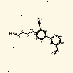 N#Cc1cc(-c2cc(C=O)ccn2)ccc1OCCCS